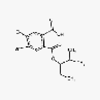 CCC(OC(=O)c1cc(Br)c(Cl)cc1C(=O)O)C(C)C